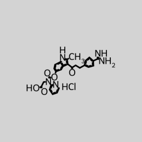 Cc1[nH]c2ccc(OC(=O)N(CC(=O)O)c3ccccn3)cc2c1C(=O)CCc1ccc(C(=N)N)cc1.Cl